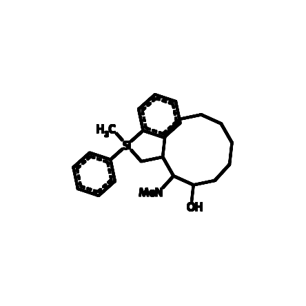 CNC1C(O)CCCCCCCC1C[Si](C)(c1ccccc1)c1ccccc1